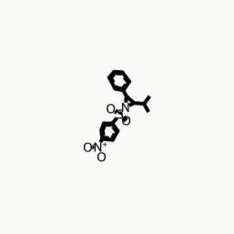 CC(C)C1C(c2ccccc2)N1S(=O)(=O)c1ccc([N+](=O)[O-])cc1